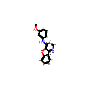 COc1cccc(Nc2ncnc3c2oc2ccccc23)c1